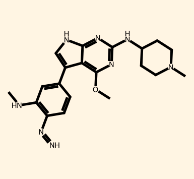 CNc1cc(-c2c[nH]c3nc(NC4CCN(C)CC4)nc(OC)c23)ccc1N=N